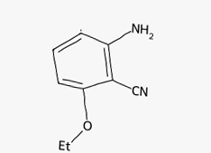 CCOc1cc[c]c(N)c1C#N